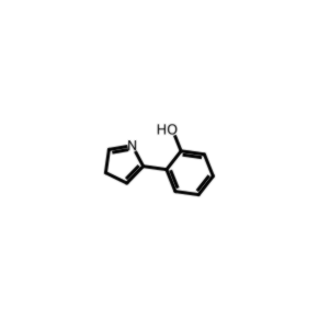 Oc1ccccc1C1=CCC=N1